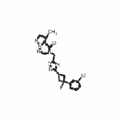 Cc1cnn2ncn(Cc3nc(C4CC(F)(c5cccc(Cl)c5)C4)no3)c(=O)c12